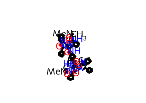 CN[C@@H](C)C(=O)N[C@H](C(=O)N1C[C@@H](NC(=O)c2ccc(C(=O)N[C@H]3C[C@@H](CN(CCc4ccccc4)C(=O)c4cc5ccccc5n4C)N(C(=O)[C@@H](NC(=O)[C@H](C)NC)C4CCCCC4)C3)cc2)C[C@H]1CN(CCc1ccccc1)C(=O)c1cc2ccccc2n1C)C1CCCCC1